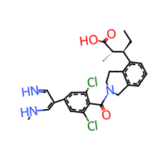 CC[C@@H](c1cccc2c1CCN(C(=O)c1c(Cl)cc(/C(C=N)=C/NC)cc1Cl)C2)[C@H](C)C(=O)O